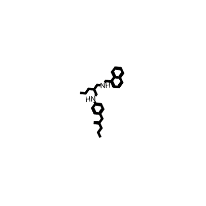 C=C(CCC)Cc1ccc(NCC(CCC)CNCc2cccc3ccccc23)cc1